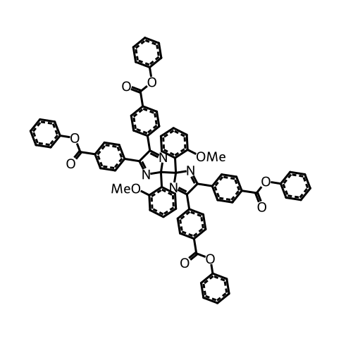 COc1ccccc1C1(C2(c3ccccc3OC)N=C(c3ccc(C(=O)Oc4ccccc4)cc3)C(c3ccc(C(=O)Oc4ccccc4)cc3)=N2)N=C(c2ccc(C(=O)Oc3ccccc3)cc2)C(c2ccc(C(=O)Oc3ccccc3)cc2)=N1